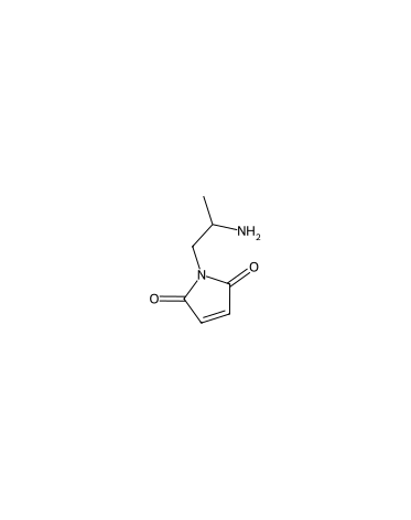 CC(N)CN1C(=O)C=CC1=O